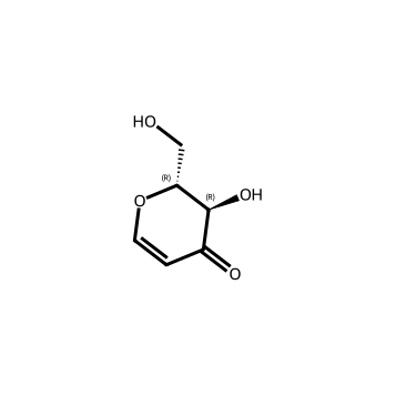 O=C1C=CO[C@H](CO)[C@H]1O